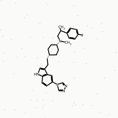 CC(CN(C)[C@H]1CC[C@@H](CCc2c[nH]c3ccc(-n4cnnc4)cc23)CC1)c1ccc(F)cc1